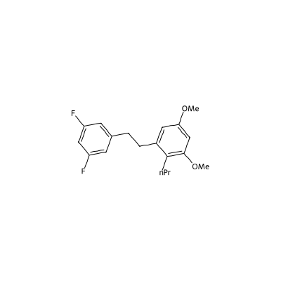 CCCc1c(CCc2cc(F)cc(F)c2)cc(OC)cc1OC